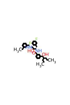 CCCC(CCC)C(O)c1cccc(C(=O)N[C@@H](Cc2cc(F)cc(F)c2)[C@@H](O)CNCc2cccc(CC)c2)c1